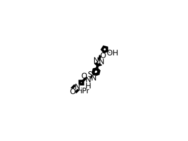 CC(C)[C@@H]1COCCN1C1CC(C(=O)Nc2nc3ccc(-c4cnc(CO[C@H]5CCC[C@@H]5O)nc4)cc3s2)C1